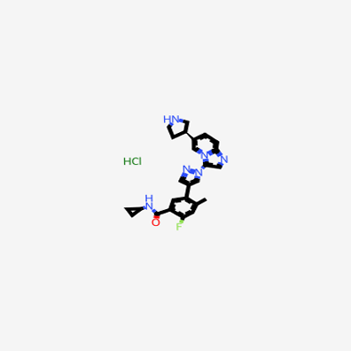 Cc1cc(F)c(C(=O)NC2CC2)cc1-c1cnn(-c2cnc3ccc([C@H]4CCNC4)cn23)c1.Cl